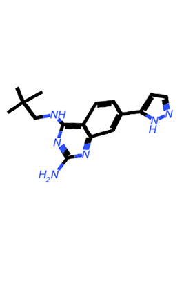 CC(C)(C)CNc1nc(N)nc2cc(-c3ccn[nH]3)ccc12